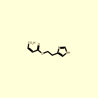 O=C(O)/C=C\C(=O)OCCc1c[nH]cn1